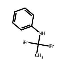 CC(C)C(C)(Nc1ccccc1)C(C)C